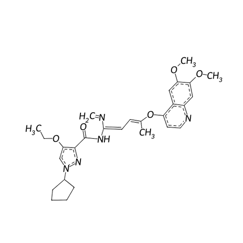 C=N/C(=C\C=C(/C)Oc1ccnc2cc(OC)c(OC)cc12)NC(=O)c1nn(C2CCCC2)cc1OCC